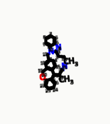 CCCc1nc2ccccc2n1Cc1ccc2c(c1)COc1ccccc1/C2=C(\C)C#N